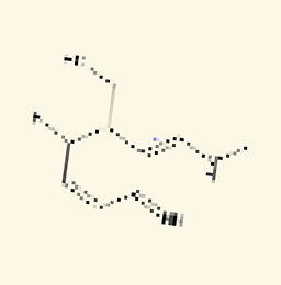 CN/C=C1\C(=N)C=CC(F)C1CO